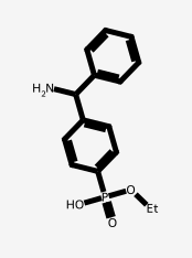 CCOP(=O)(O)c1ccc(C(N)c2ccccc2)cc1